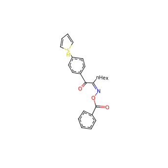 CCCCCCC(=NOC(=O)c1ccccc1)C(=O)c1ccc([SH]2C=CC=C2)cc1